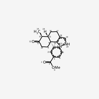 COC(=O)c1cccc([C@]23CCC(=O)[C@@H](C)[C@@H]2CCc2c[nH]nc23)c1